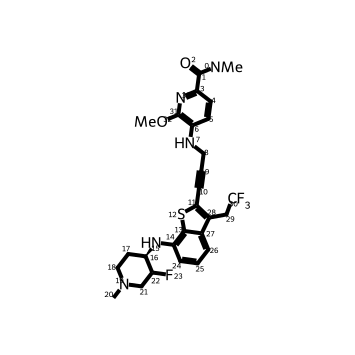 CNC(=O)c1ccc(NCC#Cc2sc3c(N[C@@H]4CCN(C)CC4F)cccc3c2CC(F)(F)F)c(OC)n1